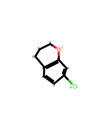 Clc1ccc2c(c1)OC[CH]C2